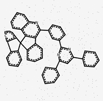 c1ccc(-c2cc(-c3ccccc3)nc(-c3cccc(-c4nc5ccccc5c5c4-c4ccccc4C54c5ccccc5-c5ccccc54)c3)n2)cc1